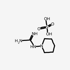 N=C(N)NN1CCCCC1.O=S(=O)(O)O